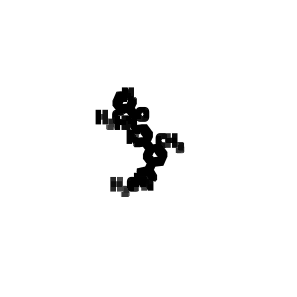 CC1=CC=C(c2cnn(C)c2)CC1c1ccc(NC(=O)c2cnccc2C)nc1